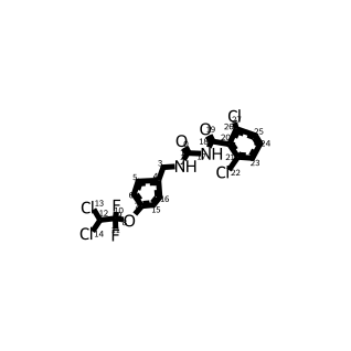 O=C(NCc1ccc(OC(F)(F)C(Cl)Cl)cc1)NC(=O)c1c(Cl)cccc1Cl